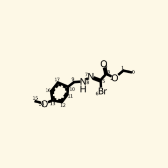 CCOC(=O)C(Br)=NNCc1ccc(OC)cc1